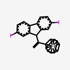 C=C(C1c2cc(I)ccc2-c2ccc(I)cc21)[C]12[CH]3[CH]4[CH]5[CH]1[Fe]45321678[CH]2[CH]1[CH]6[CH]7[CH]28